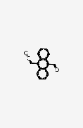 O=C=Cc1c2ccccc2c(C=O)c2ccccc12